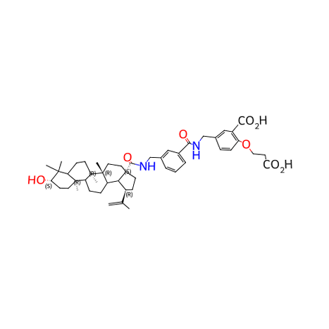 C=C(C)[C@@H]1CC[C@]2(C(=O)NCc3cccc(C(=O)NCc4ccc(OCCC(=O)O)c(C(=O)O)c4)c3)CC[C@]3(C)C(CCC4[C@@]5(C)CC[C@H](O)C(C)(C)C5CC[C@]43C)C12